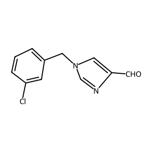 O=Cc1cn(Cc2cccc(Cl)c2)cn1